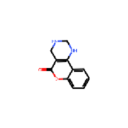 O=c1oc2ccccc2c2c1CNCN2